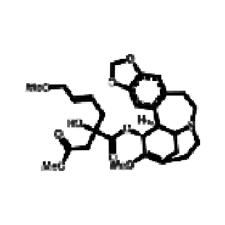 COC/C=C/CC(O)(CC(=O)OC)C(=O)O[C@@H]1C(OC)=C2CCN3CCc4cc5c(cc4[C@H]1C3C2)OCO5